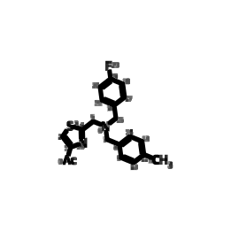 CC(=O)c1csc(CN(Cc2ccc(C)cc2)Cc2ccc(F)cc2)n1